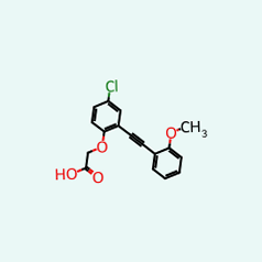 COc1ccccc1C#Cc1cc(Cl)ccc1OCC(=O)O